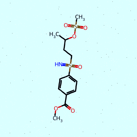 COC(=O)c1ccc(S(=N)(=O)CCC(C)OS(C)(=O)=O)cc1